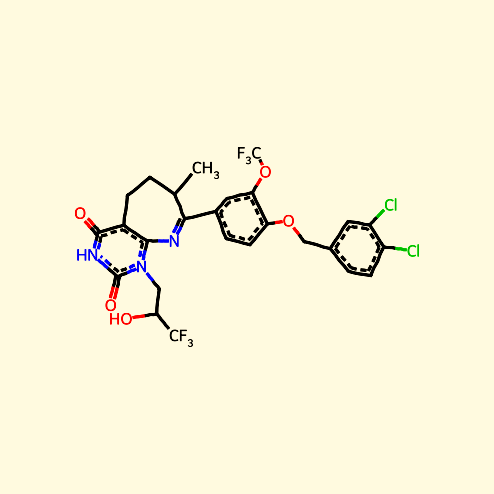 CC1CCc2c(n(CC(O)C(F)(F)F)c(=O)[nH]c2=O)N=C1c1ccc(OCc2ccc(Cl)c(Cl)c2)c(OC(F)(F)F)c1